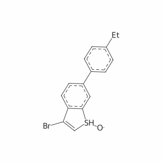 CCc1ccc(-c2ccc3c(c2)[SH]([O])C=C3Br)cc1